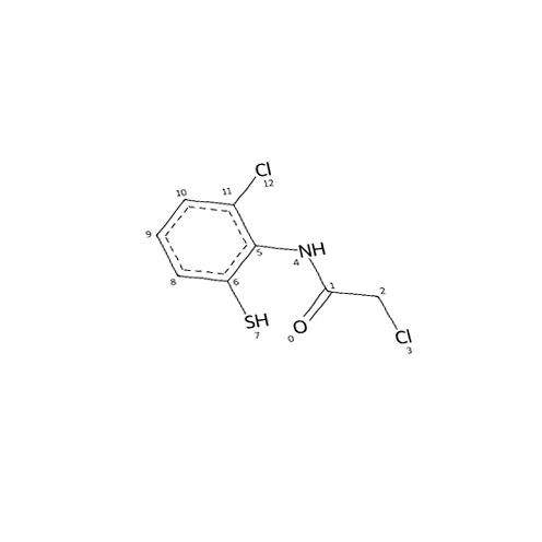 O=C(CCl)Nc1c(S)cccc1Cl